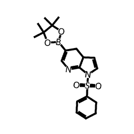 CC1(C)OB(C2=CN=C3C(C=CN3S(=O)(=O)C3=CC=CCC3)C2)OC1(C)C